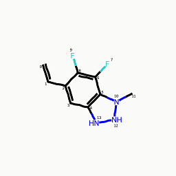 C=Cc1cc2c(c(F)c1F)N(C)NN2